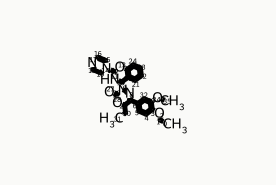 CCOc1ccc(C2=NN(C(NC(=O)N3C=CN=CC3)c3ccccc3)C(=O)OC2CC)cc1OC